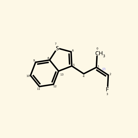 C/C(=C/F)Cc1csc2ccccc12